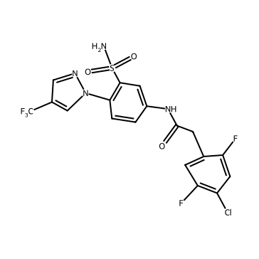 NS(=O)(=O)c1cc(NC(=O)Cc2cc(F)c(Cl)cc2F)ccc1-n1cc(C(F)(F)F)cn1